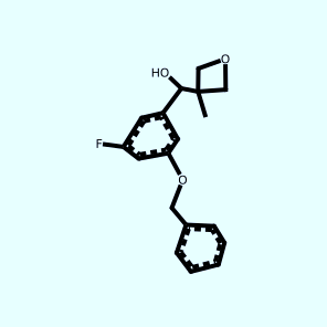 CC1(C(O)c2cc(F)cc(OCc3ccccc3)c2)COC1